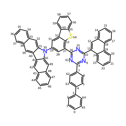 c1ccc(-c2ccc(-c3nc(-c4cc5ccccc5c5ccccc45)nc(-c4cc(-n5c6cc7ccccc7cc6c6cc7ccccc7cc65)cc5c4sc4ccccc45)n3)cc2)cc1